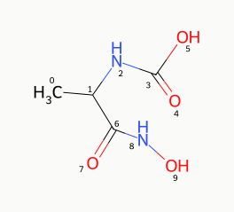 CC(NC(=O)O)C(=O)NO